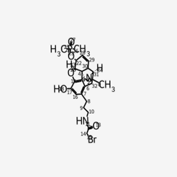 CN1CC[C@]23c4c5c(CCCNC(=O)CBr)cc(O)c4O[C@H]2[C@@H](OP(C)(C)=O)C=CC3[C@H]1C5